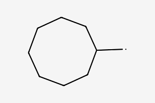 [CH2]C1CCCCCCC1